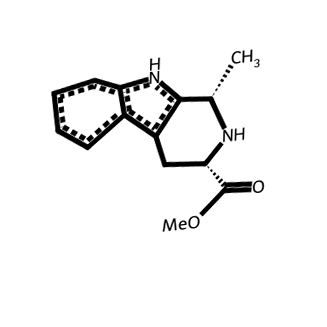 COC(=O)[C@@H]1Cc2c([nH]c3ccccc23)[C@H](C)N1